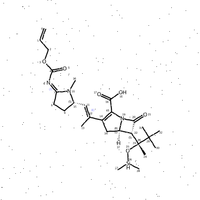 C=CCOC(=O)/N=C1/CC[C@@H](/C=C(\C)C2=C(C(=O)O)N3C(=O)[C@H]([C@@](C)(O[SiH](C)C)C(C)(C)C)[C@H]3C2)N1C